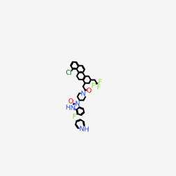 C1=CC=CNC=C1.O=C(CC1CC(CC(F)(F)F)CC2=C1CCc1c2ccc2cccc(Cl)c12)N1CCC(n2c(=O)[nH]c3c(F)cccc32)CC1